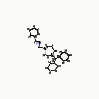 C1=C=CC(/C=C/CN2CCCN(C(C3=CCCCC3)c3ccccc3)CC2)=CC=1